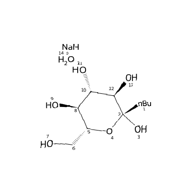 O.[CH2]CCC[C@@]1(O)O[C@H](CO)[C@@H](O)[C@H](O)[C@H]1O.[NaH]